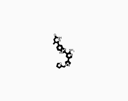 CC1CC(=O)NN=C1c1ccc2[nH]c(-c3cc(-c4cnn(CC5CCCO5)c4)cnc3N)nc2c1